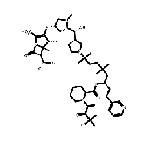 CCC(C)(C)C(=O)C(=O)N1CCCC[C@H]1C(=O)O[C@H](CCc1cccnc1)CC(C)(C)CCC(C)(C)N1CC[C@@H]([C@@H](O)[C@@H]2C[C@H](SC3=C(C(=O)O)N4C(=O)[C@H]([C@@H](C)O)[C@H]4[C@H]3C)CN2C)C1